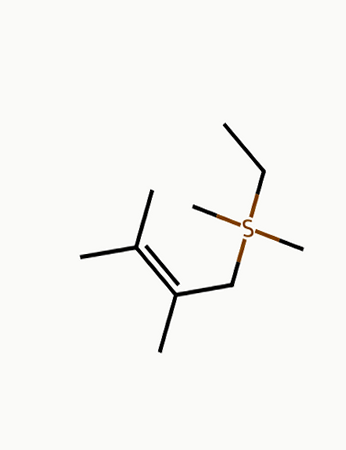 CCS(C)(C)CC(C)=C(C)C